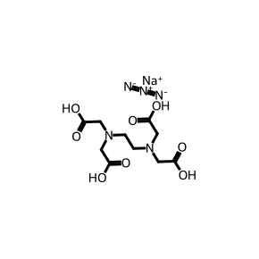 O=C(O)CN(CCN(CC(=O)O)CC(=O)O)CC(=O)O.[N-]=[N+]=[N-].[Na+]